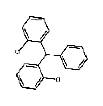 Clc1ccccc1[C](c1ccccc1)c1ccccc1Cl